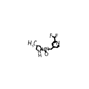 CC1CN[C@H](C(=O)NCc2ccnc(C(F)F)c2)C1